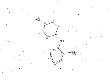 Nc1ccccc1N[C@H]1CC[C@@H](O)CC1